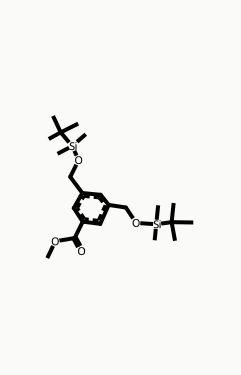 COC(=O)c1cc(CO[Si](C)(C)C(C)(C)C)cc(CO[Si](C)(C)C(C)(C)C)c1